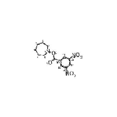 O=C(ON1CCCCCC1)c1cc([N+](=O)[O-])cc([N+](=O)[O-])c1